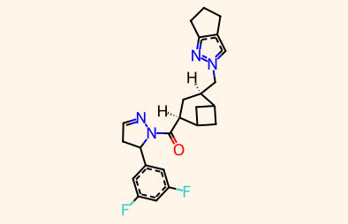 O=C([C@H]1C[C@@H](Cn2cc3c(n2)CCC3)C2CC1C2)N1N=CCC1c1cc(F)cc(F)c1